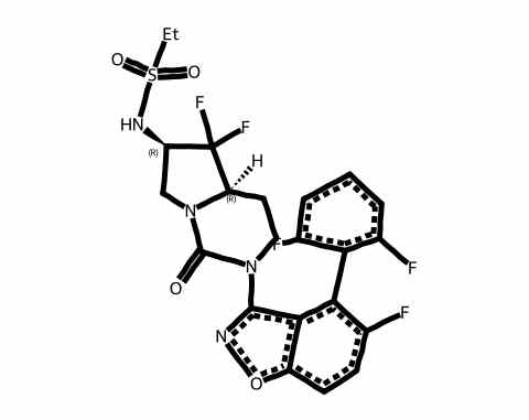 CCS(=O)(=O)N[C@@H]1CN2C(=O)N(c3noc4ccc(F)c(-c5c(F)cccc5F)c34)CC[C@@H]2C1(F)F